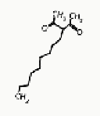 CCCCCCCCCC(C(C)=O)C(C)=O